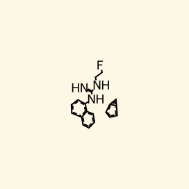 N=C(NCCF)Nc1cccc2ccccc12.c1cc2cc-2c1